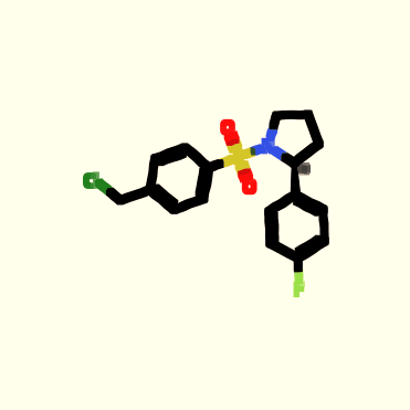 O=S(=O)(c1ccc(CCl)cc1)N1CCC[C@H]1c1ccc(F)cc1